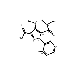 COc1c(C(=O)O)nn(-c2ccccc2F)c1C(=O)N(C)C